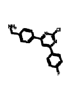 NCc1ccc(-c2cc(-c3ccc(F)cc3)nc(Cl)n2)cc1